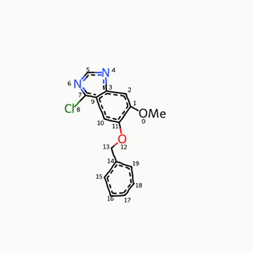 COc1cc2ncnc(Cl)c2cc1OCc1ccccc1